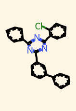 Clc1ccccc1-c1nc(-c2ccccc2)nc(-c2cccc(-c3ccccc3)c2)n1